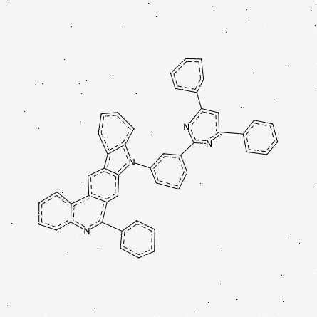 c1ccc(-c2cc(-c3ccccc3)nc(-c3cccc(-n4c5ccccc5c5cc6c(cc54)c(-c4ccccc4)nc4ccccc46)c3)n2)cc1